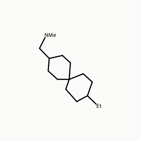 CCC1CCC2(CC1)CCC(CNC)CC2